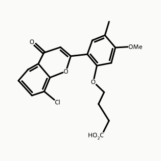 COc1cc(OCCCC(=O)O)c(-c2cc(=O)c3cccc(Cl)c3o2)cc1C